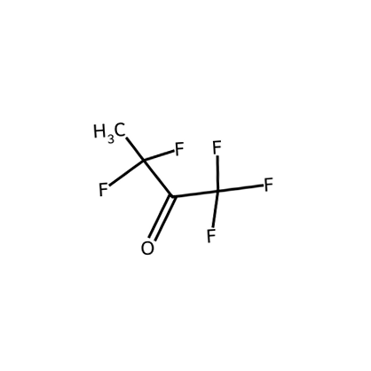 CC(F)(F)C(=O)C(F)(F)F